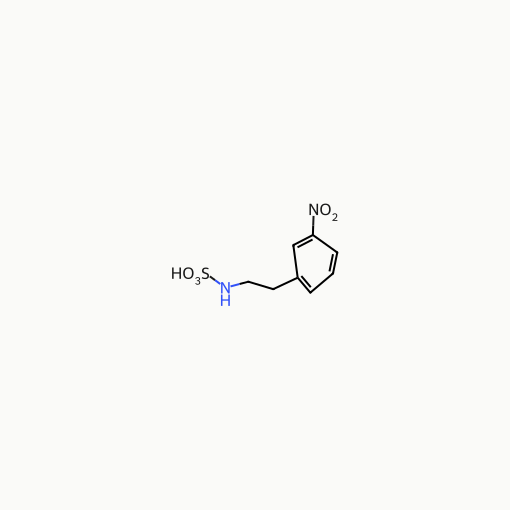 O=[N+]([O-])c1cccc(CCNS(=O)(=O)O)c1